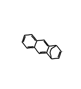 [C]1=CC2CCC1c1cc3ccccc3cc12